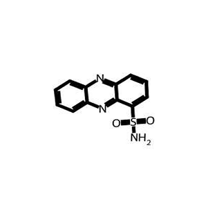 NS(=O)(=O)c1cccc2nc3ccccc3nc12